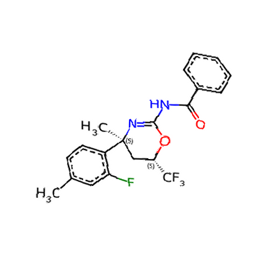 Cc1ccc([C@]2(C)C[C@@H](C(F)(F)F)OC(NC(=O)c3ccccc3)=N2)c(F)c1